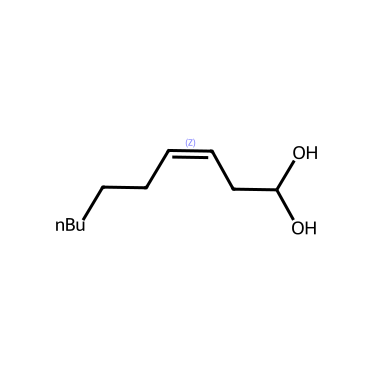 CCCCCC/C=C\CC(O)O